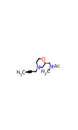 CC#CCN1CCO[C@@H](CN(C)C(C)=O)C1